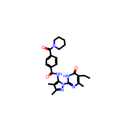 CCc1c(C)nc(-n2nc(C)c(C)c2NC(=O)c2ccc(C(=O)N3CCCCC3)cc2)[nH]c1=O